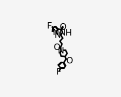 O=C(c1ccc(F)cc1)C1CCN(C(=O)CCCc2nn3cc(F)cc3c(=O)[nH]2)CC1